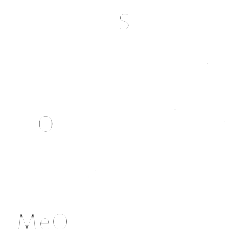 COC(=O)CC1(C=S)CC1